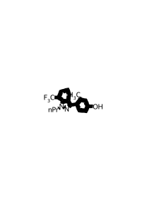 CCCn1nc(-c2ccc(O)cc2C)c2cccc(C(F)(F)F)c21